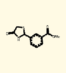 COC(=O)c1cccc(C2NC(=O)CS2)c1